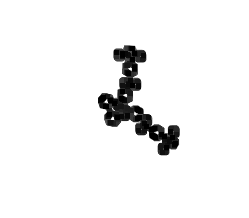 O=C(Oc1ccc(C(c2ccc(OC(=O)c3ccc(N4C(=O)C=CC4=O)cc3)cc2)P2(=O)Oc3ccccc3-c3ccccc32)cc1)c1ccc(N2C(=O)C=CC2=O)cc1